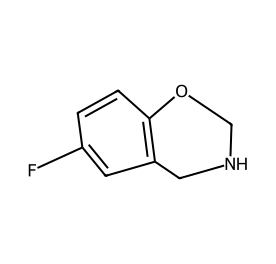 Fc1ccc2c(c1)CNCO2